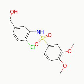 COc1ccc(S(=O)(=O)Nc2cc(CO)ccc2Cl)cc1OC